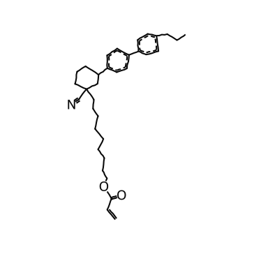 C=CC(=O)OCCCCCCCCCC1(C#N)CCCC(c2ccc(-c3ccc(CCC)cc3)cc2)C1